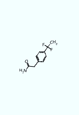 CC(F)(F)c1ccc(CC(N)=O)cc1